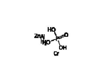 O=P(O)(O)O.[AlH3].[Cr].[Zn]